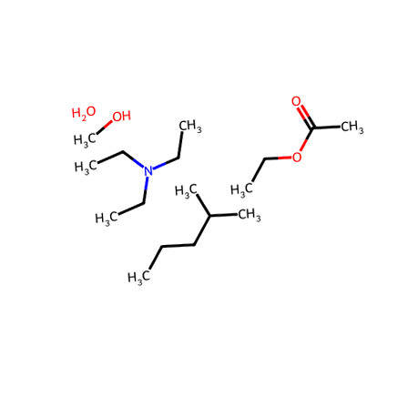 CCCC(C)C.CCN(CC)CC.CCOC(C)=O.CO.O